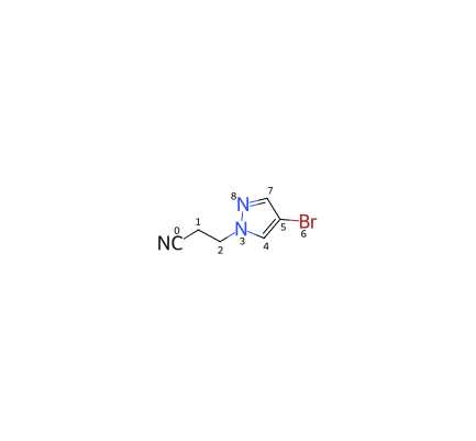 N#CCCn1cc(Br)cn1